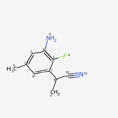 Cc1cc(N)c(F)c(C(C)C#N)c1